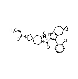 C=CC(=O)N1CC2(CCN(C(=O)c3nn4c(c3-c3ccccc3Cl)CC3(CC4)CC3)[C@@H](C)C2)C1